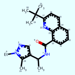 CCn1ncc(C(C)NC(=O)c2cccc3ccc(C(C)(C)C(F)(F)F)nc23)c1C